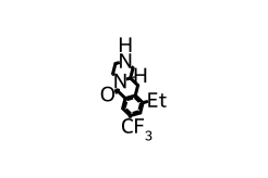 CCc1cc(C(F)(F)F)cc2c1C[C@@H]1CNCCN1C2=O